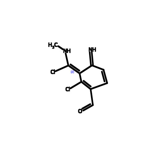 CN/C(Cl)=C1\C(=N)C=CC(C=O)=C1Cl